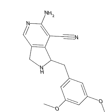 COc1cc(CC2NCc3cnc(N)c(C#N)c32)cc(OC)c1